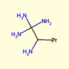 CC(C)C(N)C(N)(N)N